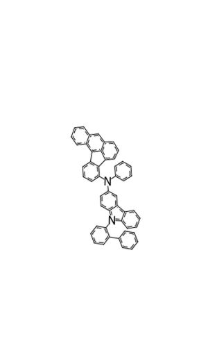 c1ccc(-c2ccccc2-n2c3ccccc3c3cc(N(c4ccccc4)c4cccc5c4-c4cccc6cc7ccccc7c-5c46)ccc32)cc1